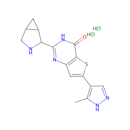 Cc1[nH]ncc1-c1cc2nc(C3NCC4CC43)[nH]c(=O)c2s1.Cl.Cl